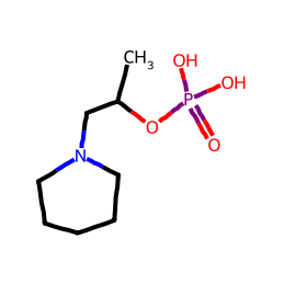 CC(CN1CCCCC1)OP(=O)(O)O